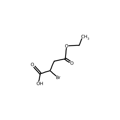 CCOC(=O)CC(Br)C(=O)O